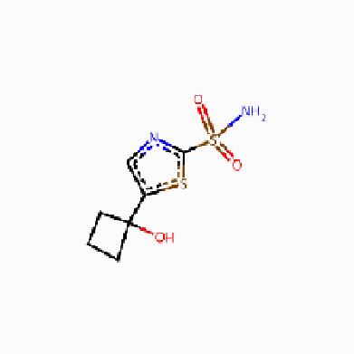 NS(=O)(=O)c1ncc(C2(O)CCC2)s1